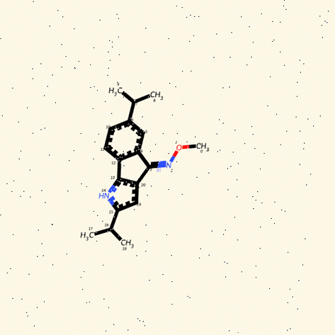 CO/N=C1\c2cc(C(C)C)ccc2-c2[nH]c(C(C)C)cc21